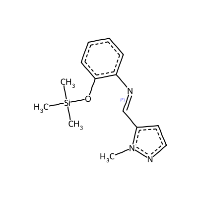 Cn1nccc1/C=N/c1ccccc1O[Si](C)(C)C